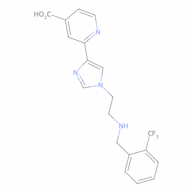 O=C(O)c1ccnc(-c2cn(CCNCc3ccccc3C(F)(F)F)cn2)c1